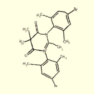 CC1=[N+](c2c(C)cc(Br)cc2C)C(=O)C(C)(C)C(=O)N1c1c(C)cc(Br)cc1C